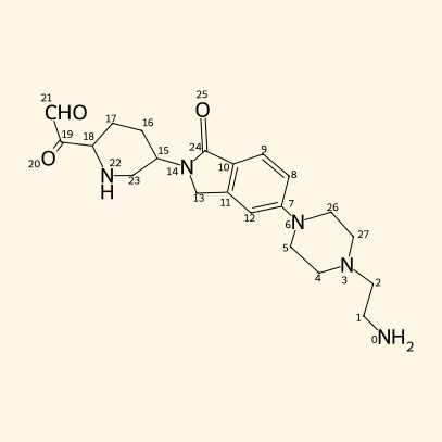 NCCN1CCN(c2ccc3c(c2)CN(C2CCC(C(=O)C=O)NC2)C3=O)CC1